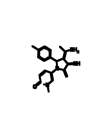 C=C1C(=N)/C(=C(/C)N)C(c2ccc(C)cc2)N1C(/C=C\C=O)=C/N(C)C